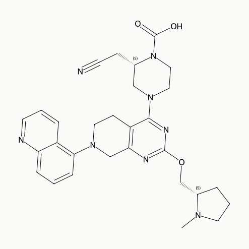 CN1CCC[C@H]1COc1nc2c(c(N3CCN(C(=O)O)[C@@H](CC#N)C3)n1)CCN(c1cccc3ncccc13)C2